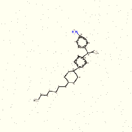 CCCCCCCC1CCC(c2ccc(C(C)c3ccc(N)cc3)cc2)CC1